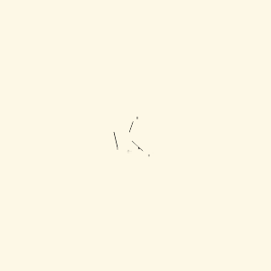 CCCCCC.CCCOCCC